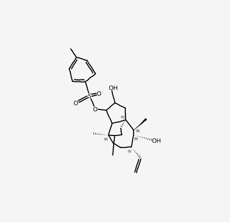 C=C[C@@H]1CC[C@]2(C)C(C)CC[C@]3(CC(O)C(OS(=O)(=O)c4ccc(C)cc4)C23)[C@@H](C)[C@@H]1O